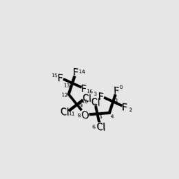 FC(F)(F)CC(Cl)(Cl)OC(Cl)(Cl)CC(F)(F)F